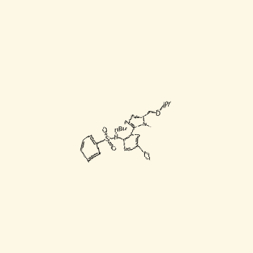 CCCCN(c1ccc(Cl)cc1-c1nnc(COC(C)C)n1C)S(=O)(=O)c1ccccc1